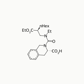 CCCCCC[C@@H](CN(CC)C(=O)N1Cc2ccccc2C[C@H]1C(=O)O)C(=O)OCC